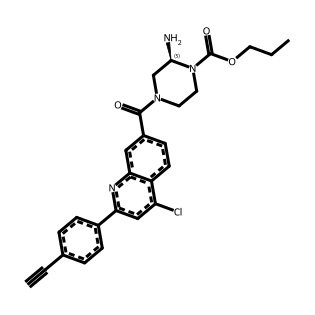 C#Cc1ccc(-c2cc(Cl)c3ccc(C(=O)N4CCN(C(=O)OCCC)[C@H](N)C4)cc3n2)cc1